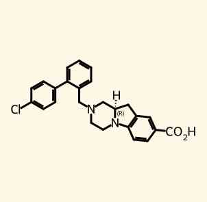 O=C(O)c1ccc2c(c1)C[C@@H]1CN(Cc3ccccc3-c3ccc(Cl)cc3)CCN21